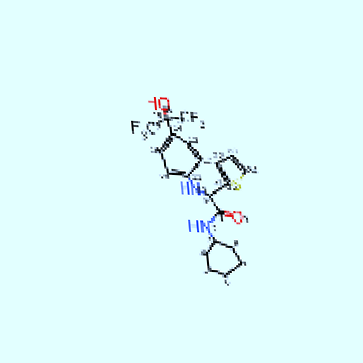 O=C(NC1CCCCC1)C(Nc1ccc(C(O)(C(F)(F)F)C(F)(F)F)cc1)c1cccs1